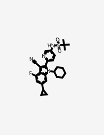 CC(C)(C)S(=O)(=O)Nc1ccc(-c2c(C#N)c3c(F)cc(C4CC4)cc3n2C2CCCCC2)nc1